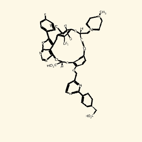 Cc1c(Cl)c2c(Cl)c(C)c1-c1c(-c3ccc(F)cc3)sc3ncnc(c13)O[C@@H](C(=O)O)Cc1cc(ccc1OCc1ccnc(C3=CC[C@H](CC(=O)O)CC3)n1)OC[C@@H](CN1CCN(C)CC1)O2